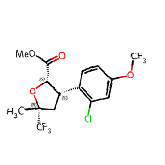 COC(=O)[C@H]1O[C@@](C)(C(F)(F)F)C[C@H]1c1ccc(OC(F)(F)F)cc1Cl